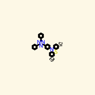 C[Si](C)(C)c1ccc2c(c1)Sc1cc([Si](C)(C)C)ccc1N2c1ccc(-c2nc(-c3ccccc3)nc(-c3ccccc3)n2)cc1